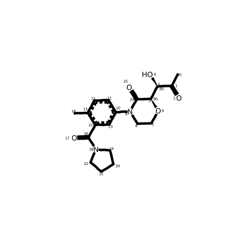 CC(=O)[C@H](O)[C@H]1OCCN(c2ccc(C)c(C(=O)N3CCCC3)c2)C1=O